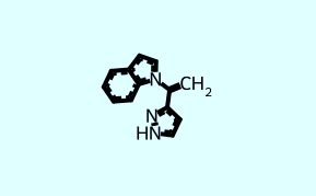 C=C(c1cc[nH]n1)n1ccc2ccccc21